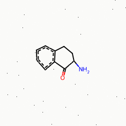 NC1CCc2ccccc2C1=O